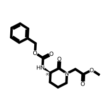 COC(=O)CN1CCC[C@@H](NC(=O)OCc2ccccc2)C1=O